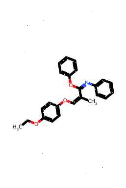 CCOc1ccc(OC=C(C)C(=Nc2ccccc2)Oc2ccccc2)cc1